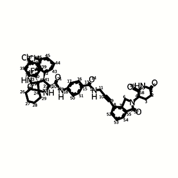 O=C1CCC(N2Cc3c(C#CCNC(=O)c4ccc(NC(=O)[C@@H]5NC6(CCCCC6)[C@@]6(C(=O)Nc7cc(Cl)ccc76)[C@H]5c5cccc(Cl)c5F)cc4)cccc3C2=O)C(=O)N1